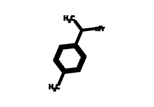 CCCC(C)c1ccc(C)cc1